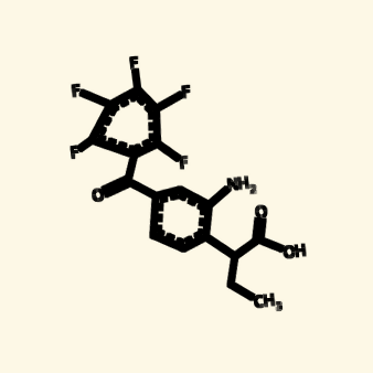 CCC(C(=O)O)c1ccc(C(=O)c2c(F)c(F)c(F)c(F)c2F)cc1N